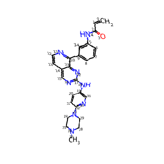 C=CC(=O)Nc1cccc(-c2nccc3cnc(Nc4ccc(N5CCN(C)CC5)nc4)nc23)c1